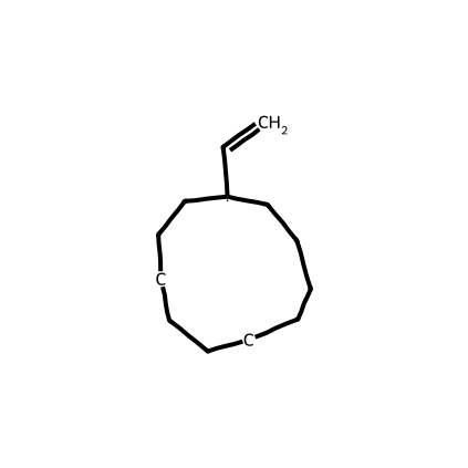 C=C[C]1CCCCCCCCCC1